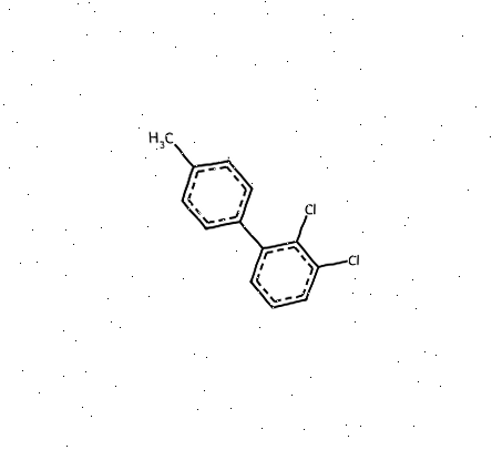 Cc1[c]cc(-c2cccc(Cl)c2Cl)cc1